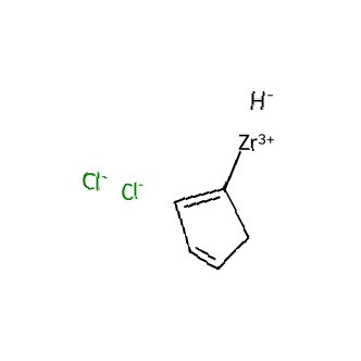 [Cl-].[Cl-].[H-].[Zr+3][C]1=CC=CC1